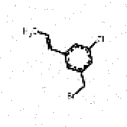 CC=Cc1cc(Cl)cc(CBr)c1